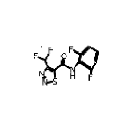 O=C(Nc1c(F)cccc1F)c1snnc1C(F)F